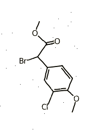 COC(=O)C(Br)c1ccc(OC)c(Cl)c1